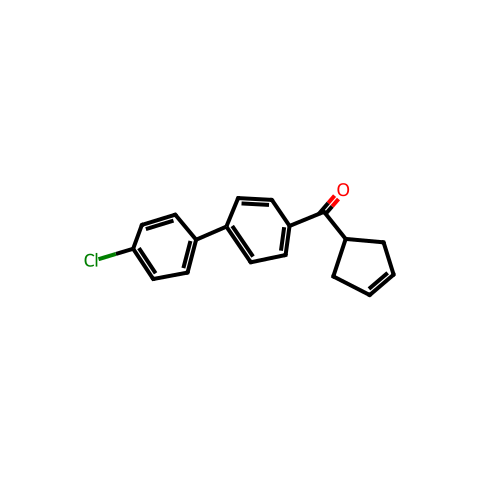 O=C(c1ccc(-c2ccc(Cl)cc2)cc1)C1CC=CC1